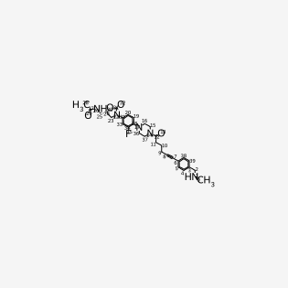 CNCc1ccc(C#CCCCC(=O)N2CCN(c3ccc(N4C[C@H](CNC(C)=O)OC4=O)cc3F)CC2)cc1